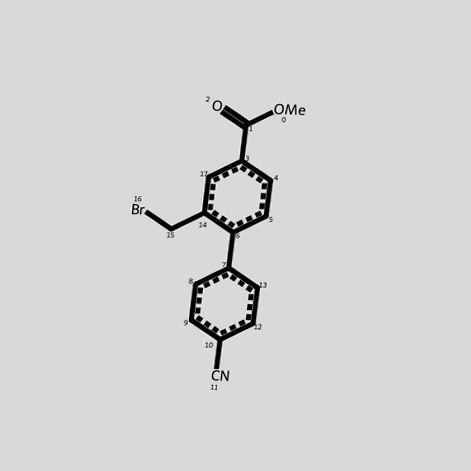 COC(=O)c1ccc(-c2ccc(C#N)cc2)c(CBr)c1